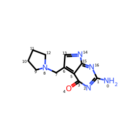 NC1=NC(=O)C2=C(CN3CCCC3)C=NC2=N1